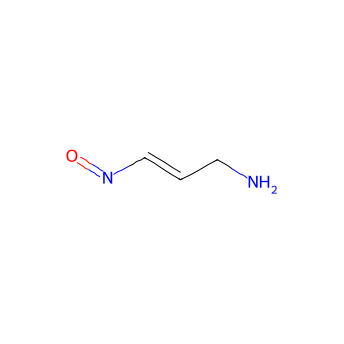 NCC=CN=O